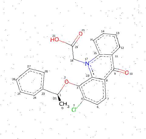 C[C@H](Oc1c(Cl)ccc2c(=O)c3ccccc3n(CC(=O)O)c12)c1ccccc1